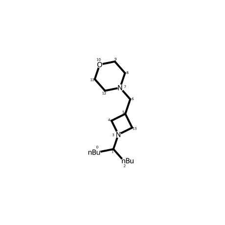 CCCCC(CCCC)N1CC(CN2CCOCC2)C1